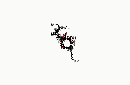 C=C/C=C(\C=C)[C@H](O)[C@@H](O)[C@@H]1NC(=O)[C@@H]2C[C@@H](O)CN2C(=O)[C@H]([C@@H](C)O)NC(=O)[C@@H](NC(=O)CCCCCCCC[C@@H](C)C[C@@H](C)CC)C[C@@H](O)CNC(=O)[C@@H]2[C@@H](O)CCN2C(=O)[C@H]([C@H](O)CCNC(=O)CCNC(=O)[C@H](Cc2ccccc2)N2C(=O)[C@@H](NC(=O)[C@H](CCSC)NC(C)=O)CC2C)NC1=O